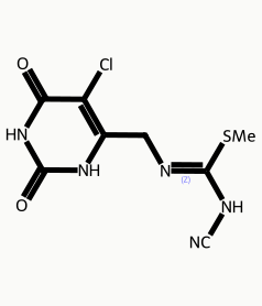 CS/C(=N\Cc1[nH]c(=O)[nH]c(=O)c1Cl)NC#N